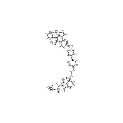 O=C1CCC(N2C(=O)c3cccc(NCCCN4CCN(c5ccc(Nc6ncc7c(=O)n(-c8c(Cl)cccc8Cl)c8nccn8c7n6)cc5)CC4)c3C2=O)C(=O)N1